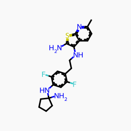 Cc1ccc2c(NCCc3cc(F)c(NC4(N)CCCC4)cc3F)c(N)sc2n1